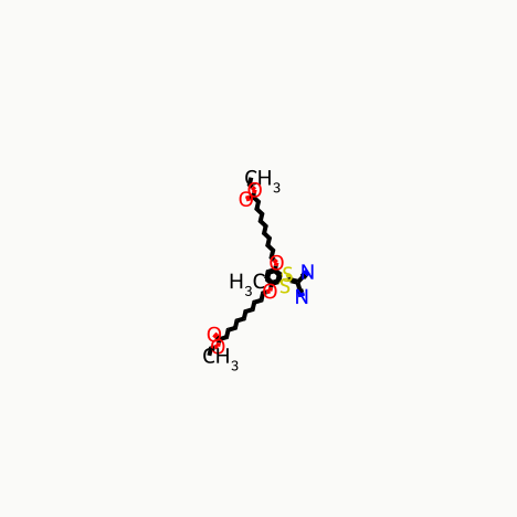 CCOC(=O)CCCCCCCCCCOc1cc(C)c(OCCCCCCCCCCC(=O)OCC)c2c1SC(=C(C#N)C#N)S2